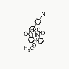 COc1ccc(C(=O)N2CCC(c3ccc(C#N)cc3)CC2)cc1N1CC=CC=C1NC(C)=O